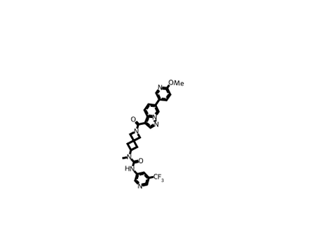 COc1ccc(-c2ccc3c(C(=O)N4CC5(CC(N(C)C(=O)Nc6cncc(C(F)(F)F)c6)C5)C4)cnn3c2)cn1